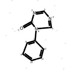 O=c1ncncn1-c1ccccc1